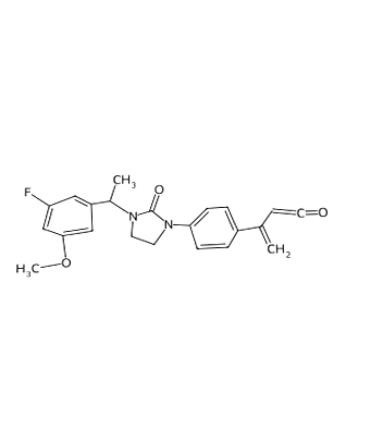 C=C(C=C=O)c1ccc(N2CCN(C(C)c3cc(F)cc(OC)c3)C2=O)cc1